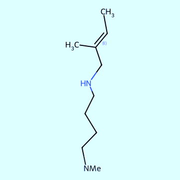 C/C=C(\C)CNCCCCNC